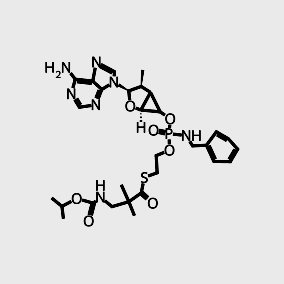 CC(C)OC(=O)NCC(C)(C)C(=O)SCCOP(=O)(NCc1ccccc1)OC1C2[C@@H]1O[C@@H](n1cnc3c(N)ncnc31)[C@H]2C